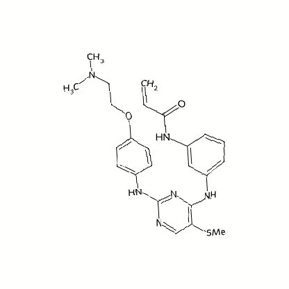 C=CC(=O)Nc1cccc(Nc2nc(Nc3ccc(OCCN(C)C)cc3)ncc2SC)c1